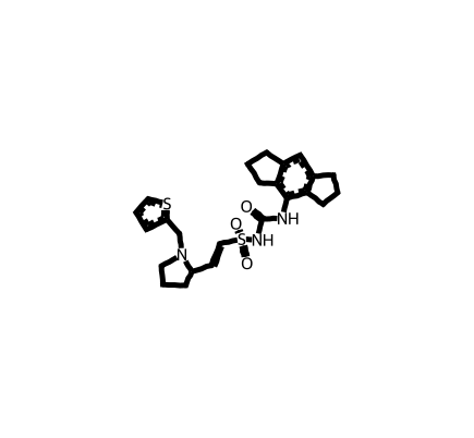 O=C(Nc1c2c(cc3c1CCC3)CCC2)NS(=O)(=O)/C=C/C1CCCN1Cc1cccs1